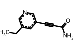 CCc1cncc(C#CC(N)=O)c1